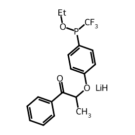 CCOP(c1ccc(OC(C)C(=O)c2ccccc2)cc1)C(F)(F)F.[LiH]